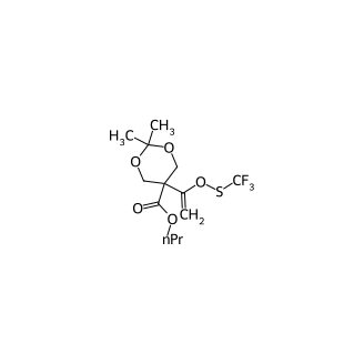 C=C(OSC(F)(F)F)C1(C(=O)OCCC)COC(C)(C)OC1